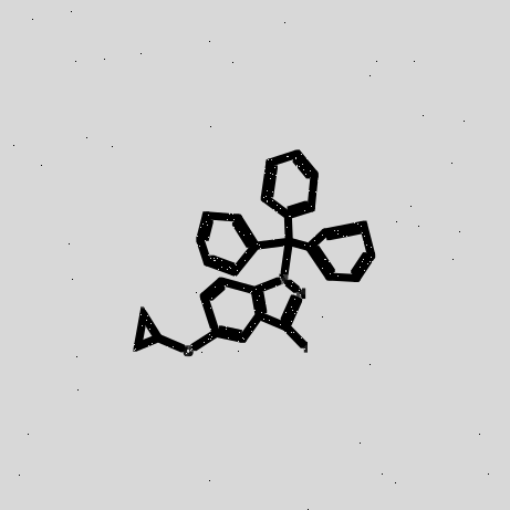 Ic1nn(C(c2ccccc2)(c2ccccc2)c2ccccc2)c2ccc(OC3CC3)cc12